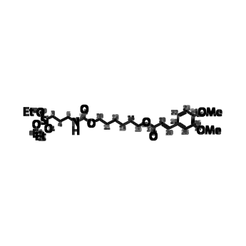 CCO[Si](CCCNC(=O)OCCCCCCOC(=O)/C=C/c1ccc(OC)c(OC)c1)(OCC)OCC